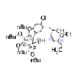 C=C(/C=C\C(=C/C)OCC)Cc1cc([C@]2(O)[C@H](OCCCC)[C@@H](OCCCC)[C@H](OCCCC)[C@@H](COCCCC)C2(F)F)ccc1Cl